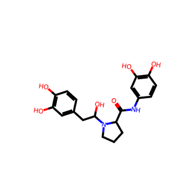 O=C(Nc1ccc(O)c(O)c1)C1CCCN1C(O)Cc1ccc(O)c(O)c1